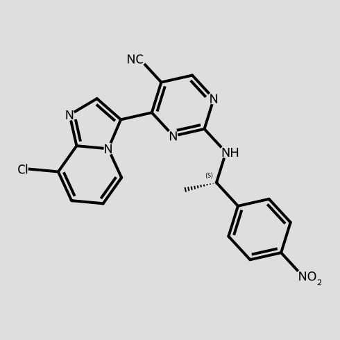 C[C@H](Nc1ncc(C#N)c(-c2cnc3c(Cl)cccn23)n1)c1ccc([N+](=O)[O-])cc1